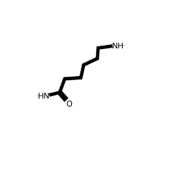 [NH]CCCCCC([NH])=O